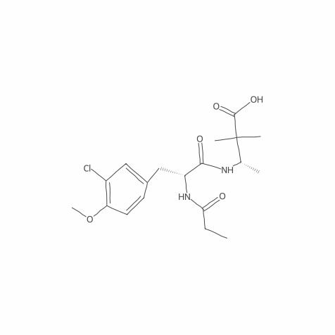 CCC(=O)N[C@H](Cc1ccc(OC)c(Cl)c1)C(=O)N[C@@H](C)C(C)(C)C(=O)O